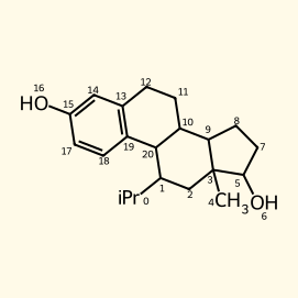 CC(C)C1CC2(C)C(O)CCC2C2CCc3cc(O)ccc3C12